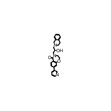 O=C1c2ccc(-c3cccnc3)cc2OCCN1C[C@H](O)CN1CCc2ccccc2C1